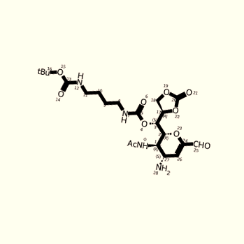 CC(=O)N[C@H]1[C@H]([C@H](OC(=O)NCCCCNC(=O)OC(C)(C)C)[C@H]2COC(=O)O2)OC(C=O)=C[C@@H]1N